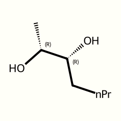 CCCC[C@@H](O)[C@@H](C)O